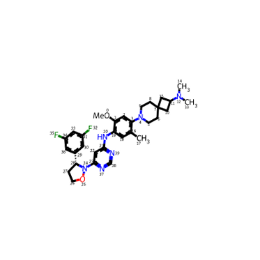 COc1cc(N2CCC3(CC2)CC(N(C)C)C3)c(C)cc1Nc1cc(N2OCC[C@@H]2c2cc(F)cc(F)c2)ncn1